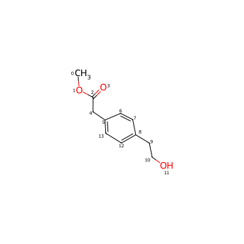 COC(=O)Cc1ccc(CCO)cc1